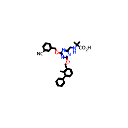 Cc1c(COc2nc(CNC(C)(C)C(=O)O)nc(OCc3cccc(C#N)c3)n2)cccc1-c1ccccc1